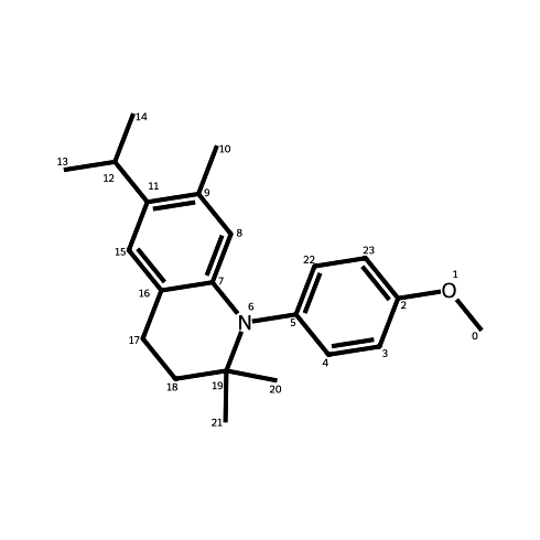 COc1ccc(N2c3cc(C)c(C(C)C)cc3CCC2(C)C)cc1